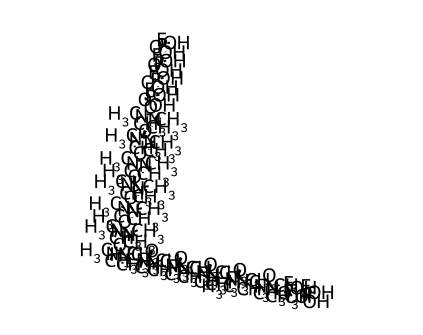 CN(C)C(=O)N(C)C.CN(C)C(=O)N(C)C.CN(C)C(=O)N(C)C.CN(C)C(=O)N(C)C.CN(C)C(=O)N(C)C.CN(C)C(=O)N(C)C.CN(C)C(=O)N(C)C.CN(C)C(=O)N(C)C.CN(C)C(=O)N(C)C.CN(C)C(=O)N(C)C.CN(C)C(=O)N(C)C.CN(C)C(=O)N(C)C.O=P(O)(O)F.O=P(O)(O)F.O=P(O)(O)F.O=P(O)(O)F.O=P(O)(O)F.O=P(O)(O)F